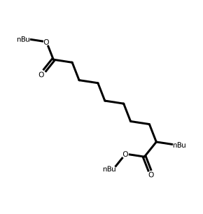 CCCCOC(=O)CCCCCCCC(CCCC)C(=O)OCCCC